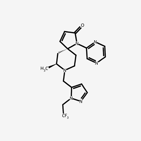 C[C@H]1C[C@@]2(C=CC(=O)N2c2cnccn2)CCN1Cc1ccnn1CC(F)(F)F